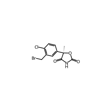 C[C@]1(c2ccc(Cl)c(CBr)c2)OC(=O)NC1=O